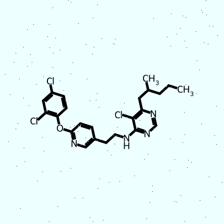 CCCC(C)Cc1ncnc(NCCc2ccc(Oc3ccc(Cl)cc3Cl)nc2)c1Cl